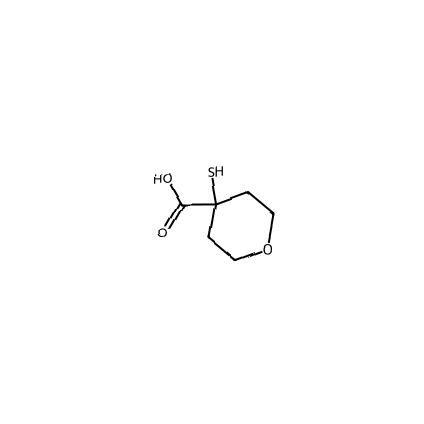 O=C(O)C1(S)CCOCC1